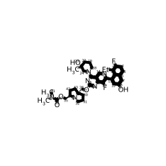 CCc1c(F)ccc2cc(O)cc(-c3ncc4c(N5CCC[C@@](C)(O)C5)nc(OC[C@]56CCCN5[C@@H](COC(=O)N(C)C)CC6)nc4c3F)c12